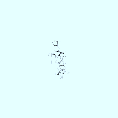 C[C@@H]1CCC[C@@H]1Nc1nc(Cl)nc2c1cnn2[C@@H]1O[C@H](CS(=O)(=O)CP(=O)(O)O)[C@@H](O)[C@H]1O